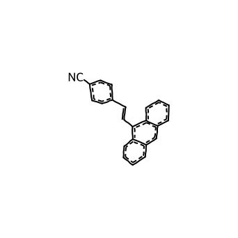 N#Cc1ccc(C=Cc2c3ccccc3cc3ccccc23)cc1